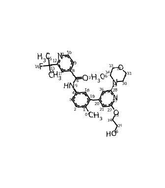 Cc1ccc(NC(=O)c2ccnc(C(C)(C)F)c2)cc1-c1cc(OCCO)nc(N2CCOC[C@H]2C)c1